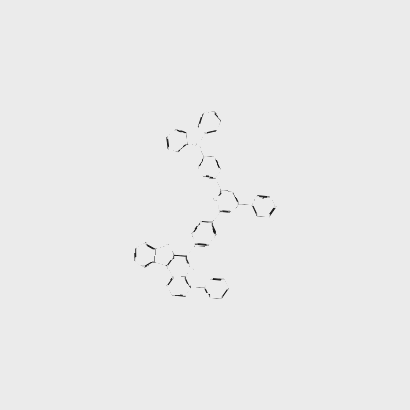 c1ccc(-c2cc(-c3ccc(-n4c5ccccc5c5ccccc54)cc3)nc(-c3ccc(-c4nc5c(-c6ccccc6)cccc5c5c4sc4ccccc45)cc3)n2)cc1